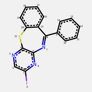 Ic1cnc2c(n1)N=C(c1ccccc1)c1ccccc1S2